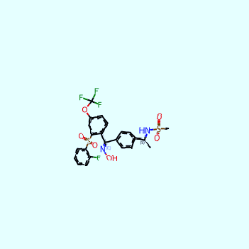 C[C@H](NS(C)(=O)=O)c1ccc(/C(=N\O)c2ccc(OC(F)(F)F)cc2S(=O)(=O)c2ccccc2F)cc1